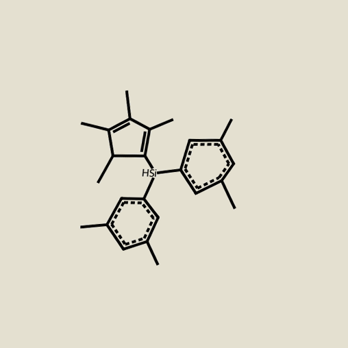 CC1=C(C)C(C)C([SiH](c2cc(C)cc(C)c2)c2cc(C)cc(C)c2)=C1C